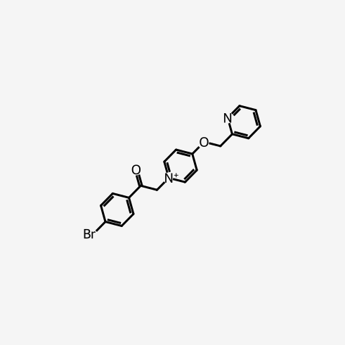 O=C(C[n+]1ccc(OCc2ccccn2)cc1)c1ccc(Br)cc1